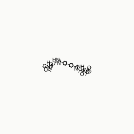 COC(=O)NN(CC(=O)C[C@@H](C)c1nc(-c2ccc(-c3ccc(-c4c[nH]c([C@H](C)CC(=O)N(NC(=O)OC)C(C)C)n4)cc3)cc2)c[nH]1)C(C)C